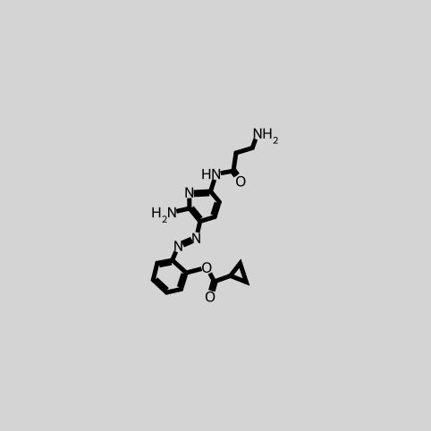 NCCC(=O)Nc1ccc(/N=N/c2ccccc2OC(=O)C2CC2)c(N)n1